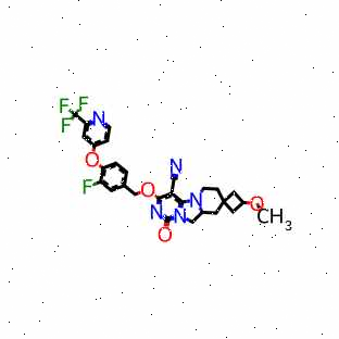 COC1CC2(CCN3c4c(C#N)c(OCc5ccc(Oc6ccnc(C(F)(F)F)c6)c(F)c5)nc(=O)n4CC3C2)C1